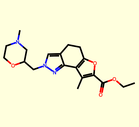 CCOC(=O)c1oc2c(c1C)-c1nn(CC3CN(C)CCO3)cc1CC2